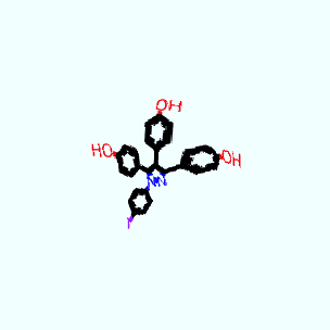 Oc1ccc(-c2nn(-c3ccc(I)cc3)c(-c3ccc(O)cc3)c2-c2ccc(O)cc2)cc1